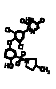 CC1CCN(S(=O)(=O)c2cc(Oc3c(Cl)cc(-n4ncc(=O)[nH]c4=O)cc3Cl)ccc2O)CC1